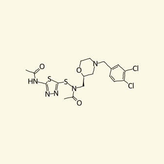 CC(=O)Nc1nnc(SN(C[C@@H]2CN(Cc3ccc(Cl)c(Cl)c3)CCO2)C(C)=O)s1